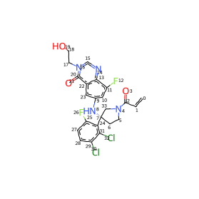 C=CC(=O)N1CC[C@@](Nc2cc(F)c3ncn(CCO)c(=O)c3c2)(c2c(F)ccc(Cl)c2Cl)C1